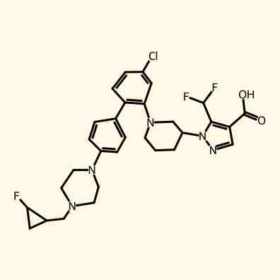 O=C(O)c1cnn(C2CCCN(c3cc(Cl)ccc3-c3ccc(N4CCN(CC5CC5F)CC4)cc3)C2)c1C(F)F